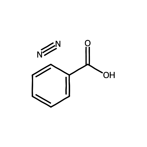 N#N.O=C(O)c1ccccc1